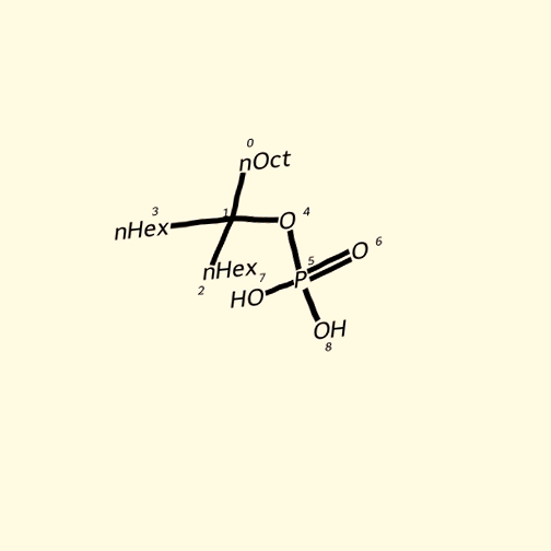 CCCCCCCCC(CCCCCC)(CCCCCC)OP(=O)(O)O